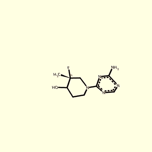 C[C@@]1(F)CN(c2ncnc(N)n2)CCC1O